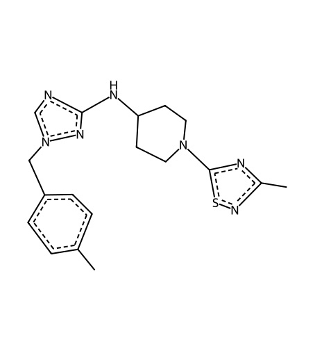 Cc1ccc(Cn2cnc(NC3CCN(c4nc(C)ns4)CC3)n2)cc1